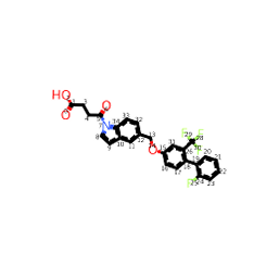 O=C(O)CCC(=O)n1ccc2cc(COc3ccc(-c4ccccc4F)c(C(F)(F)F)c3)ccc21